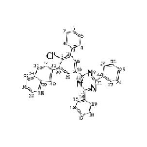 Clc1c(-c2ccccc2)cc(-c2nc(-c3ccccc3)nc(-c3ccccc3)n2)cc1-c1ccc2ccccc2c1